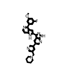 COc1cc(F)cc(-c2nccc3[nH]c(-c4n[nH]c5ncc(-c6cncc(CN7CCCCC7)c6)cc45)cc23)c1